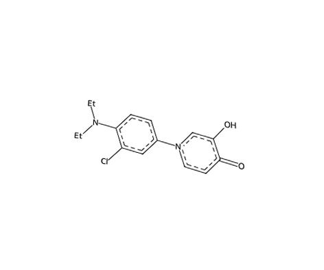 CCN(CC)c1ccc(-n2ccc(=O)c(O)c2)cc1Cl